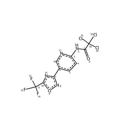 O=C(Nc1ccc(-c2noc(C(F)(F)F)n2)cn1)C(Cl)(Cl)Cl